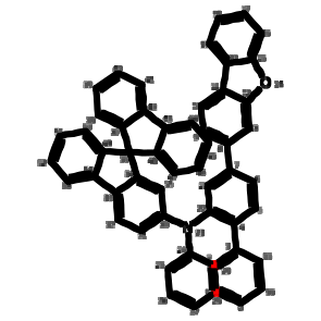 c1ccc(-c2ccc(-c3ccc4c(c3)oc3ccccc34)cc2N(c2ccccc2)c2ccc3c(c2)C2(c4ccccc4-c4ccccc42)c2ccccc2-3)cc1